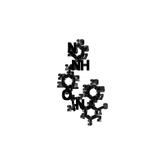 Cc1cccc(N2CC(Oc3ccc(CNc4cccnc4)cc3)C2)c1-c1ccccc1